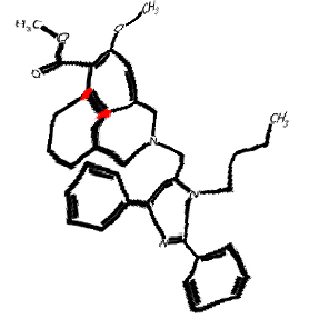 CCCCn1c(-c2ccccc2)nc(-c2ccccc2)c1CN(Cc1ccc(C(=O)OC)c(OC)c1)CC1CCCCC1